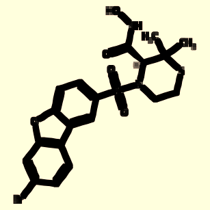 CC1(C)SCCN(S(=O)(=O)c2ccc3oc4cc(Br)ccc4c3c2)[C@H]1C(=O)NO